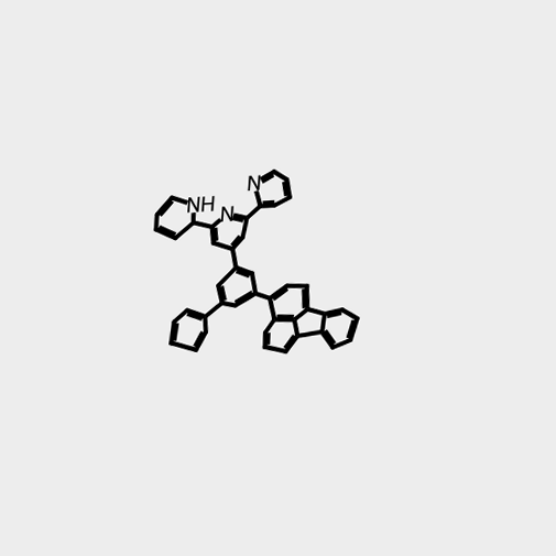 C1=CNC(c2cc(-c3cc(-c4ccccc4)cc(-c4ccc5c6c(cccc46)-c4ccccc4-5)c3)cc(-c3ccccn3)n2)C=C1